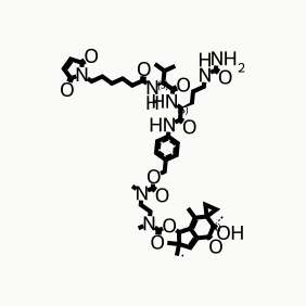 [CH2]C1(C)C=C2C(=O)[C@](C)(O)C3(CC3)C(C)=C2C1OC(=O)N(C)CCN(C)C(=O)OCc1ccc(NC(=O)[C@H](CCCNC(N)=O)NC(=O)[C@@H](NC(=O)CCCCCN2C(=O)C=CC2=O)C(C)C)cc1